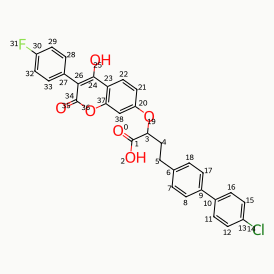 O=C(O)C(CCc1ccc(-c2ccc(Cl)cc2)cc1)Oc1ccc2c(O)c(-c3ccc(F)cc3)c(=O)oc2c1